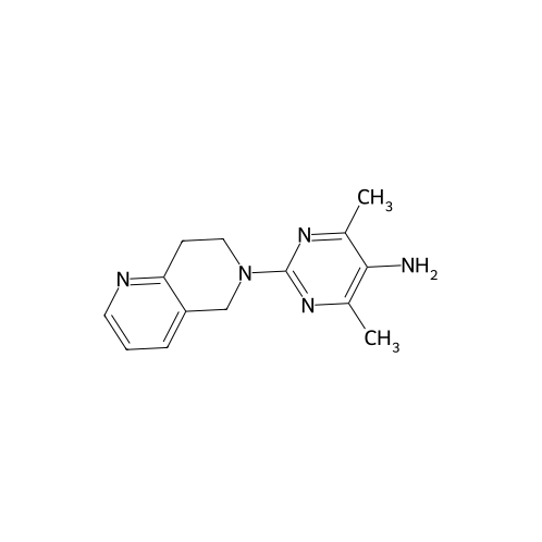 Cc1nc(N2CCc3ncccc3C2)nc(C)c1N